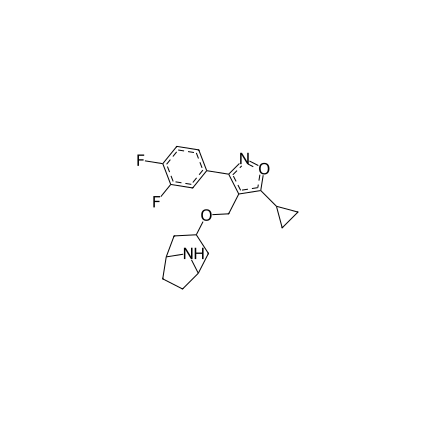 Fc1ccc(-c2noc(C3CC3)c2COC2CC3CCC(C2)N3)cc1F